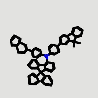 CC1(C)c2ccccc2-c2ccc(-c3ccc(N(c4ccc(-c5ccc6ccccc6c5)cc4)c4cccc5c4-c4ccccc4C5(c4ccccc4)c4ccccc4)cc3)cc21